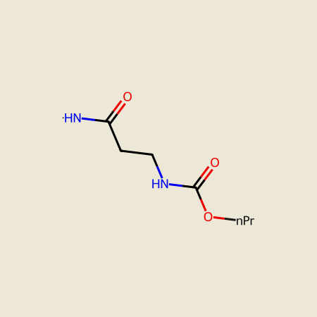 CCCOC(=O)NCCC([NH])=O